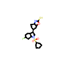 O=S(=O)(c1ccccc1)n1cc(-c2ccc3nc(S)oc3c2)c2ccc(F)cc21